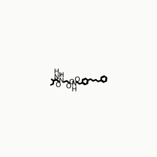 CCC(C)[C@H](N)C(=O)NCCC(=O)ONC(=O)Cc1ccc(CCCCc2ccccc2)cc1